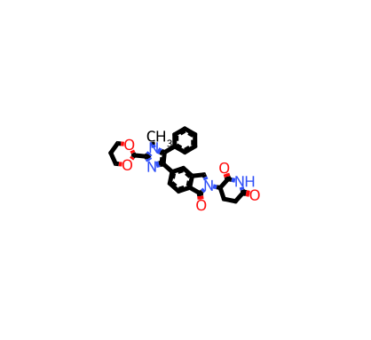 Cn1c(C2OCCCO2)nc(-c2ccc3c(c2)CN(C2CCC(=O)NC2=O)C3=O)c1-c1ccccc1